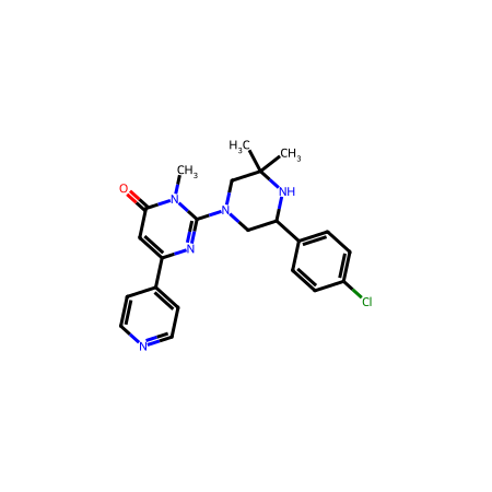 Cn1c(N2CC(c3ccc(Cl)cc3)NC(C)(C)C2)nc(-c2ccncc2)cc1=O